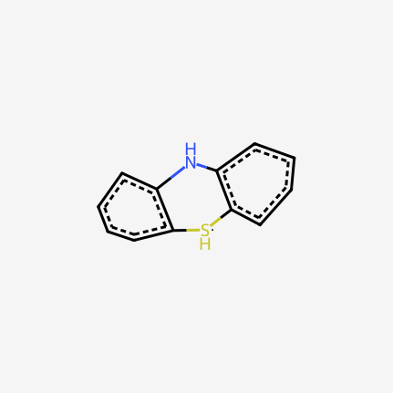 c1ccc2c(c1)Nc1ccccc1[SH]2